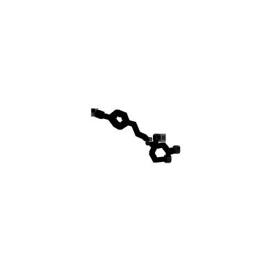 N#Cc1ccc(CCCCC2(O)CCOC(=O)C2)cc1